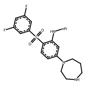 CCCNc1cc(N2CCCNCC2)ccc1S(=O)(=O)c1cc(F)cc(F)c1